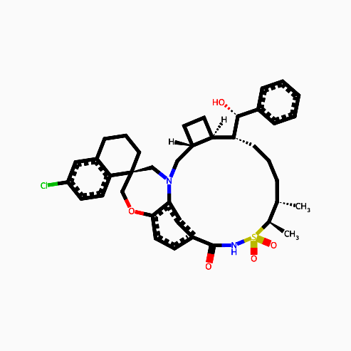 C[C@@H]1[C@@H](C)CCC[C@@H]([C@H](O)c2ccccc2)[C@@H]2CC[C@H]2CN2C[C@@]3(CCCc4cc(Cl)ccc43)COc3ccc(cc32)C(=O)NS1(=O)=O